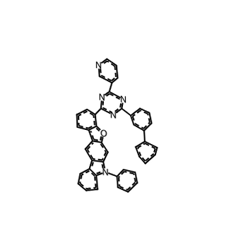 c1ccc(-c2cccc(-c3nc(-c4cccnc4)nc(-c4cccc5c4oc4cc6c(cc45)c4ccccc4n6-c4ccccc4)n3)c2)cc1